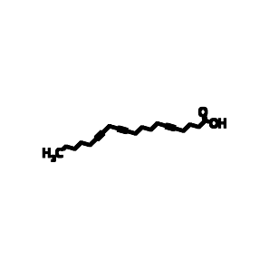 CCCCCC#CCC#CCCCCC#CCCCC(=O)O